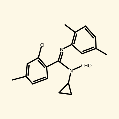 Cc1ccc(/C(=N/c2cc(C)ccc2C)N(C=O)C2CC2)c(Cl)c1